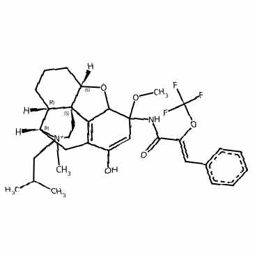 COC1(NC(=O)C(=Cc2ccccc2)OC(F)(F)F)C=C(O)C2=C3C1O[C@H]1CCC[C@H]4[C@@H](C2)[N+](C)(CC(C)C)CC[C@]314